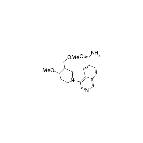 COCC1CN(c2cncc3ccc(C(N)=O)cc23)CCC1OC